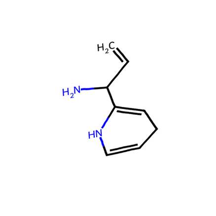 C=CC(N)C1=CCC=CN1